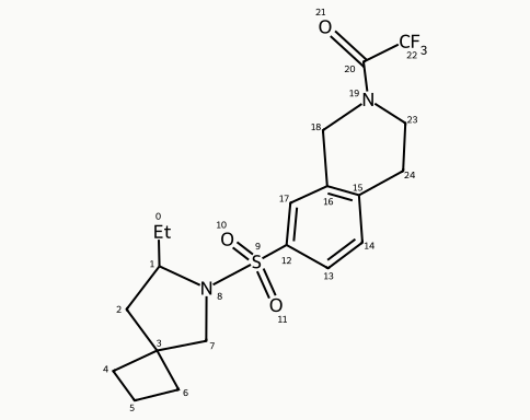 CCC1CC2(CCC2)CN1S(=O)(=O)c1ccc2c(c1)CN(C(=O)C(F)(F)F)CC2